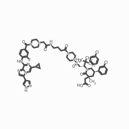 CC(C)(C)[C@@H](CS(=O)(=O)N1CCN(C(=O)CCCNC(=O)CN2CCN(C(=O)c3ccc(Nc4nc(C5CC5)cn5c(-c6cn[nH]c6)cnc45)c(F)c3)CC2)CC1)N1C(=O)[C@@](C)(CC(=O)O)C[C@H](c2cccc(Cl)c2)[C@H]1c1ccc(Cl)cc1